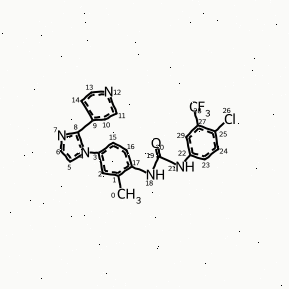 Cc1cc(-n2ccnc2-c2ccncc2)ccc1NC(=O)Nc1ccc(Cl)c(C(F)(F)F)c1